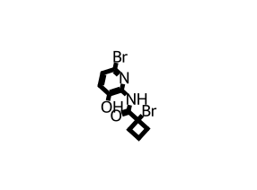 O=C(Nc1nc(Br)ccc1O)C1(Br)CCC1